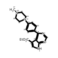 CCOC(=O)c1c[nH]c2ncnc(-c3ccc(N4CCN(C)CC4)cc3)c12